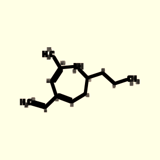 C=CC1=CCC(CCC)NC(C)=C1